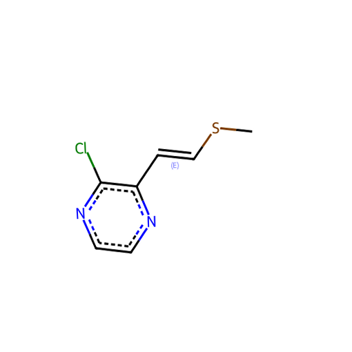 CS/C=C/c1nccnc1Cl